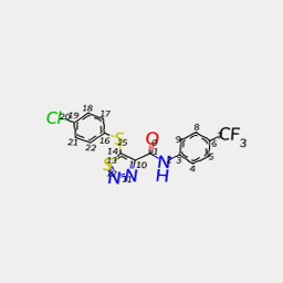 O=C(Nc1ccc(C(F)(F)F)cc1)c1nnsc1Sc1ccc(Cl)cc1